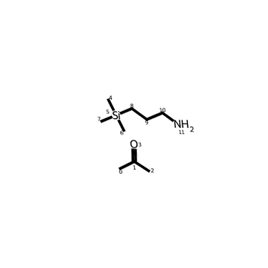 CC(C)=O.C[Si](C)(C)CCCN